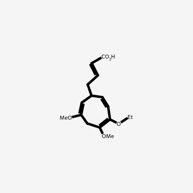 CCO/C1=C(\OC)C/C(OC)=C\C(C/C=C/C(=O)O)C=C1